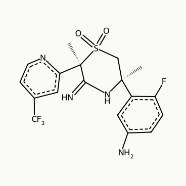 C[C@@]1(c2cc(C(F)(F)F)ccn2)C(=N)N[C@](C)(c2cc(N)ccc2F)CS1(=O)=O